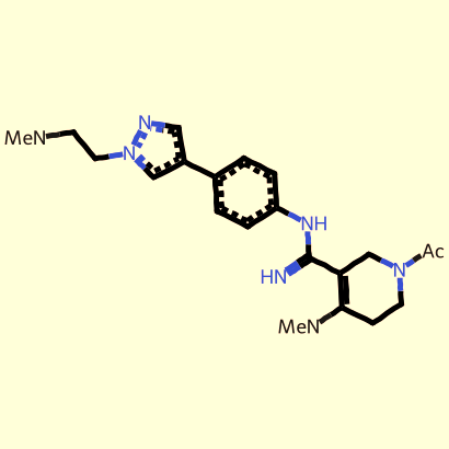 CNCCn1cc(-c2ccc(NC(=N)C3=C(NC)CCN(C(C)=O)C3)cc2)cn1